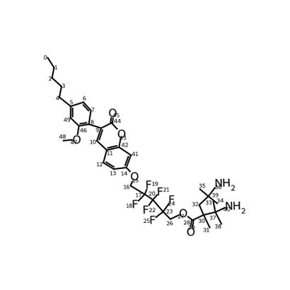 CCCCCc1ccc(-c2cc3ccc(OCC(F)(F)C(F)(F)C(F)(F)COC(=O)C(C)(CC(C)(C)N)C(C)(C)N)cc3oc2=O)c(OC)c1